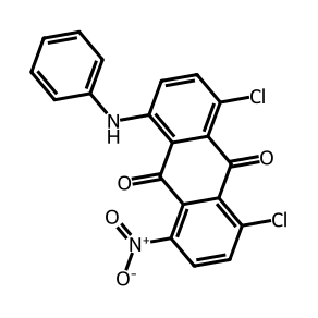 O=C1c2c(Cl)ccc(Nc3ccccc3)c2C(=O)c2c([N+](=O)[O-])ccc(Cl)c21